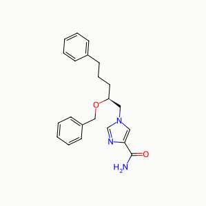 NC(=O)c1cn(C[C@H](CCCc2ccccc2)OCc2ccccc2)cn1